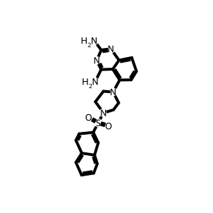 Nc1nc(N)c2c(N3CCN(S(=O)(=O)c4ccc5ccccc5c4)CC3)cccc2n1